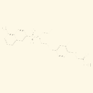 CCCN(CCSc1ccc(OCC(=O)O)c(C)c1)S(=O)(=O)c1ccc2c(Cl)cccc2c1